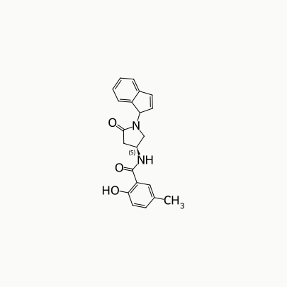 Cc1ccc(O)c(C(=O)N[C@H]2CC(=O)N(C3C=Cc4ccccc43)C2)c1